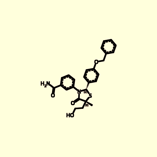 C[C@]1(CCO)S[C@@H](c2ccc(OCc3ccccc3)cc2)N(c2cccc(C(N)=O)c2)C1=O